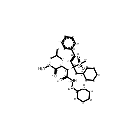 CC(C)C[C@@H](C(=O)NN)[C@@H](C(=O)NOC1CCCCO1)C(/C=C/c1ccccc1)(CC1CCCCC1)S(C)(=O)=O